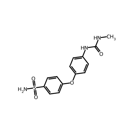 CNC(=O)Nc1ccc(Oc2ccc(S(N)(=O)=O)cc2)cc1